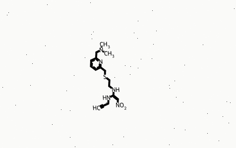 C#CCNC(=C[N+](=O)[O-])NCCSCc1cccc(CN(C)C)n1